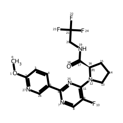 COc1ccc(-c2ncc(F)c(N3CCC[C@@H]3C(=O)NCC(F)(F)F)n2)cn1